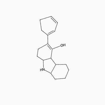 OC1=C(C2=CC=CCC2)CCC2NC3CCCCC3C12